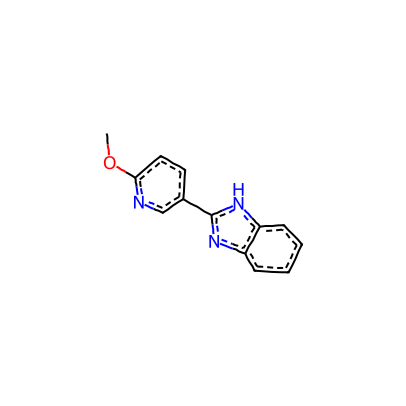 COc1ccc(-c2nc3ccccc3[nH]2)cn1